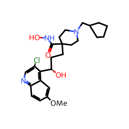 COc1ccc2ncc(Cl)c([C@H](O)CCC3(C(=O)NO)CCN(CC4CCCC4)CC3)c2c1